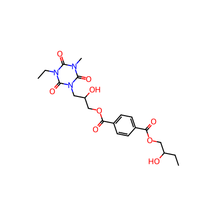 CCC(O)COC(=O)c1ccc(C(=O)OCC(O)Cn2c(=O)n(C)c(=O)n(CC)c2=O)cc1